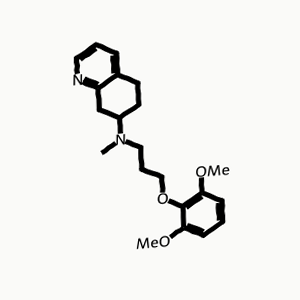 COc1cccc(OC)c1OCCCN(C)C1CCc2cccnc2C1